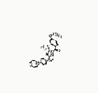 CC(C)(C)Oc1ccc(C(=O)n2nc(Nc3ccc(N4CCOCC4)cc3)nc2N)cc1